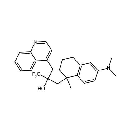 CN(C)c1ccc2c(c1)CCCC2(C)CC(O)(Cc1ccnc2ccccc12)C(F)(F)F